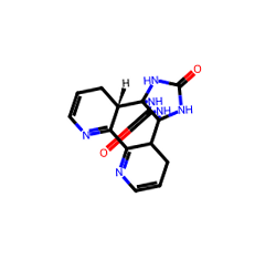 O=C1NC23NC(=O)NC2(N1)[C@H]1CC=CN=C1C1=NC=CCC13